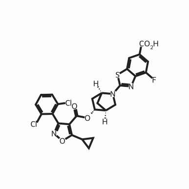 O=C(O)c1cc(F)c2nc(N3C[C@@H]4C[C@H]3C[C@H]4OC(=O)c3c(-c4c(Cl)cccc4Cl)noc3C3CC3)sc2c1